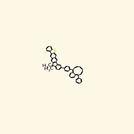 CC1(C)c2ccc(-c3ccc(-c4ccccccc(-c5ccccc5)c5ccccc45)cc3)cc2-c2cc3cc4sc5ccccc5c4cc3cc21